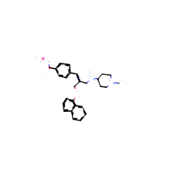 CC(C)N1CCC(NC/C(=C/c2ccc(C(=O)NO)cc2)COc2cccc3ccccc23)CC1